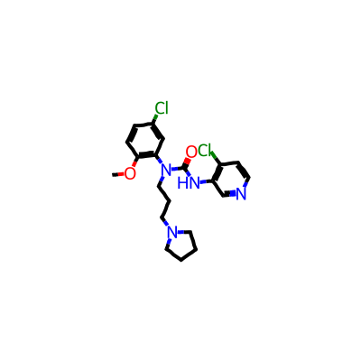 COc1ccc(Cl)cc1N(CCCN1CCCC1)C(=O)Nc1cnccc1Cl